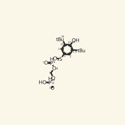 CC(C)(C)c1cc(SO[PH](=O)OCO[PH](=O)O)cc(C(C)(C)C)c1O